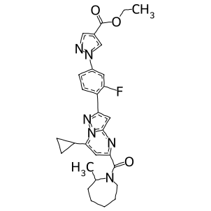 CCOC(=O)c1cnn(-c2ccc(-c3cc4nc(C(=O)N5CCCCCC5C)cc(C5CC5)n4n3)c(F)c2)c1